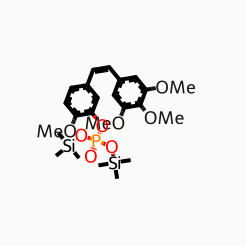 COc1ccc(/C=C\c2cc(OC)c(OC)c(OC)c2)cc1OP(=O)(O[Si](C)(C)C)O[Si](C)(C)C